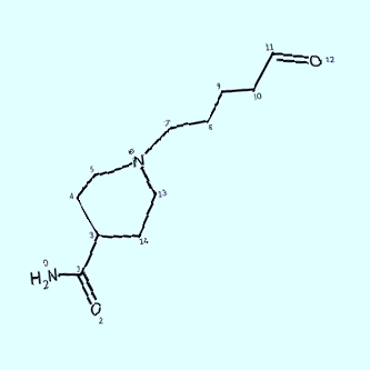 NC(=O)C1CCN(CCCCC=O)CC1